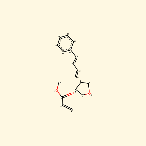 C1CCOC1.C=CC(=O)OC.C=CC=Cc1ccccc1